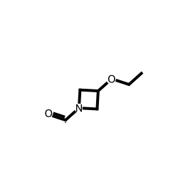 CCOC1CN([C]=O)C1